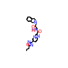 CCCc1nc(-c2ccc3nc(C(=O)NC[C@H](O)CN4CCc5ccccc5C4)cn3c2)no1